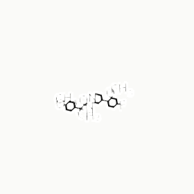 COc1ccc([C@H](C)C(=O)Nc2cc(-c3ccc(F)cc3OC)ccn2)cc1